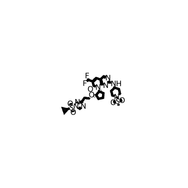 CS(=O)(=O)N1CCC(Nc2ncc3cc(C(F)F)c(=O)n([C@H]4CCC[C@@H]4OCCc4ncn(S(=O)(=O)C5CC5)n4)c3n2)CC1